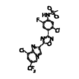 CS(=O)(=O)Nc1cc(Cl)c(-c2noc(-c3cn4cc(C(F)(F)F)cc(Cl)c4n3)n2)cc1F